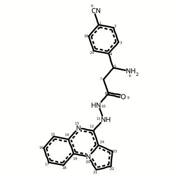 N#Cc1ccc(C(N)CC(=O)NNc2nc3ccccc3n3cccc23)cc1